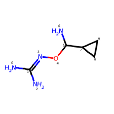 NC(N)=NOC(N)C1CC1